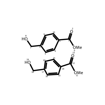 COC(=O)c1ccc(CO)cc1.COC(=O)c1ccc(CO)cc1